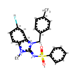 CCn1/c(=N/S(=O)(=O)c2ccccc2)n(Cc2ccc(C(F)(F)F)cc2)c2cc(F)ccc21